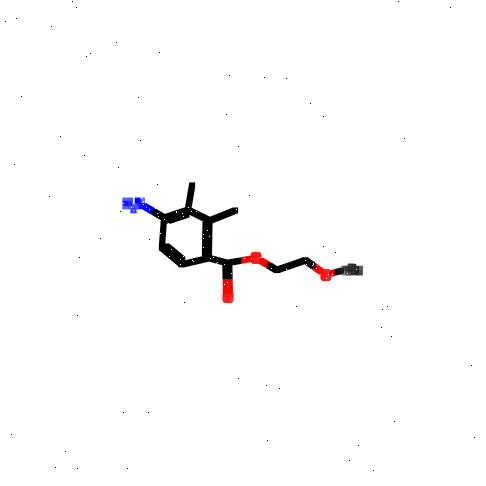 CCCCOCCOC(=O)c1ccc(N)c(C)c1C